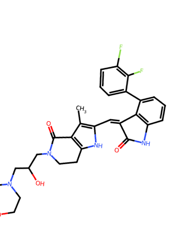 Cc1c(C=C2C(=O)Nc3cccc(-c4cccc(F)c4F)c32)[nH]c2c1C(=O)N(CC(O)CN1CCOCC1)CC2